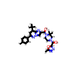 Cc1ccc(-c2cc(C(C)(C)C)c3nc(C(=O)N4CCN(C(=O)c5nnc(C)o5)CC4(C)C)cn3n2)cc1